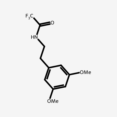 COc1cc(CCNC(=O)C(F)(F)F)cc(OC)c1